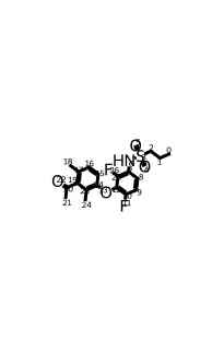 CCCS(=O)(=O)Nc1ccc(F)c(Oc2ccc(C)c(C(C)=O)c2C)c1F